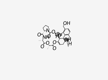 C[C@H](NC(=O)[C@@H]1CCCN1C(=O)OC(C)(C)C)C(=O)O[C@@H](C)C(=O)OC1=CC[C@@]2(O)[C@H]3Cc4ccc(CO)c5c4[C@@]2(CCN3C)[C@H]1O5